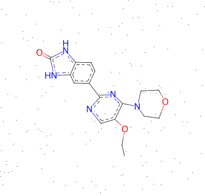 CCOc1cnc(-c2ccc3[nH]c(=O)[nH]c3c2)nc1N1CCOCC1